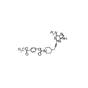 COC(=O)c1ccc(OC(=O)N2CCC(CC#Cc3nc(N)c4nc[nH]c4n3)CC2)cc1